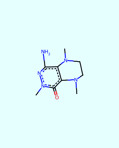 CN1CCN(C)c2c1c(N)nn(C)c2=O